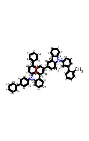 Cc1ccccc1-c1cccc(-n2c3ccccc3c3cc(-c4cccc(-c5ccccc5N(c5ccc(-c6ccccc6)cc5)c5ccc(-c6ccccc6)cc5)c4)ccc32)c1C